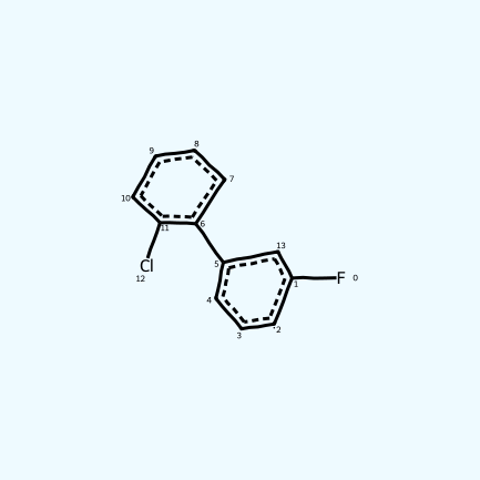 Fc1[c]ccc(-c2ccccc2Cl)c1